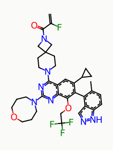 C=C(F)C(=O)N1CC2(CCN(c3nc(N4CCCOCCC4)nc4c(OCC(F)(F)F)c(-c5c(C)ccc6[nH]ncc56)c(C5CC5)cc34)CC2)C1